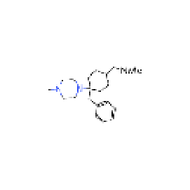 CNCC1CCC(Cc2ccccc2)(N2CCN(C)CC2)CC1